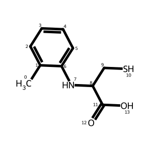 Cc1ccccc1NC(CS)C(=O)O